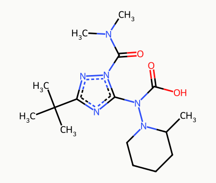 CC1CCCCN1N(C(=O)O)c1nc(C(C)(C)C)nn1C(=O)N(C)C